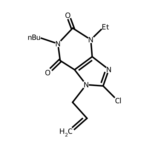 C=CCn1c(Cl)nc2c1c(=O)n(CCCC)c(=O)n2CC